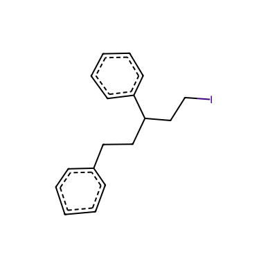 ICCC(CCc1ccccc1)c1ccccc1